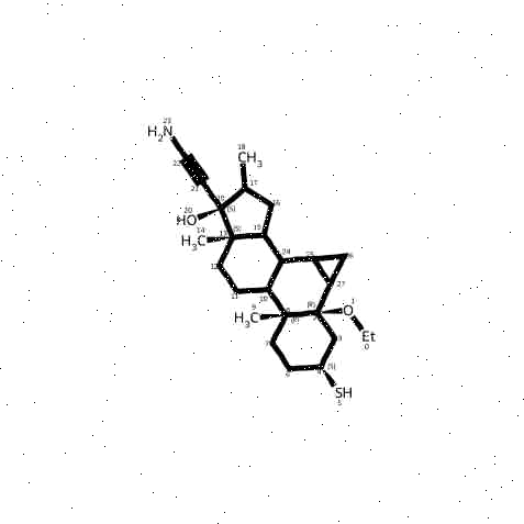 CCO[C@@]12C[C@@H](S)CC[C@]1(C)C1CC[C@@]3(C)C(CC(C)[C@@]3(O)C#CN)C1C1CC12